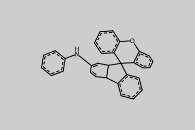 C1=CC2c3ccccc3C3(c4ccccc4Oc4ccccc43)C2C=C1Nc1ccccc1